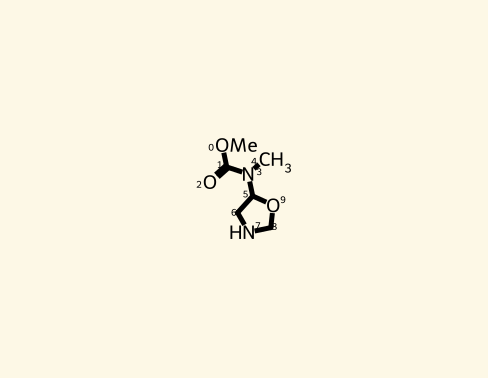 COC(=O)N(C)C1CNCO1